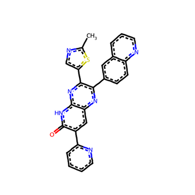 Cc1ncc(-c2nc3[nH]c(=O)c(-c4ccccn4)cc3nc2-c2ccc3ncccc3c2)s1